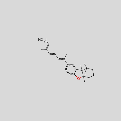 CC(C=CC=C(C)c1ccc2c(c1)C1(C)C3(C)CCC(C3)C1(C)O2)=CC(=O)O